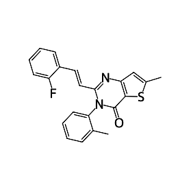 Cc1cc2nc(C=Cc3ccccc3F)n(-c3ccccc3C)c(=O)c2s1